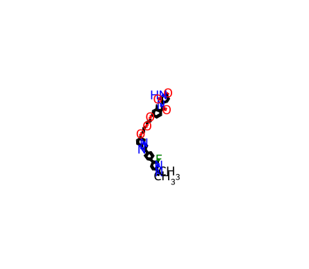 CN(C)c1ccc(-c2ccc(-c3cn4cc(OCCOCCOc5ccc6c(c5)CN(C5CCC(=O)NC5=O)C6=O)ccc4n3)cc2)c(F)n1